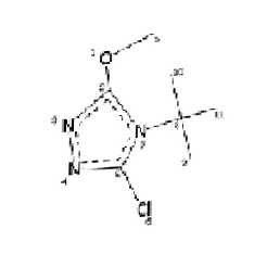 COc1nnc(Cl)n1C(C)(C)C